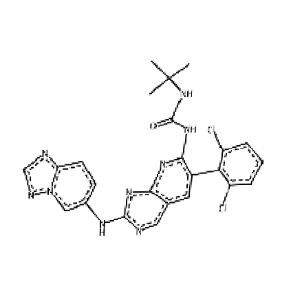 CC(C)(C)NC(=O)Nc1nc2nc(Nc3ccc4ncnn4c3)ncc2cc1-c1c(Cl)cccc1Cl